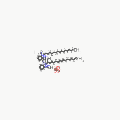 CCCCCCCCCCCCCCCCc1n(C)c2ccccc2[n+]1C.CCCCCCCCCCCCCCCCc1n(C)c2ccccc2[n+]1C.O=S(=O)([O-])[O-]